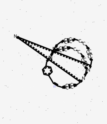 C1=C\c2ccc(cc2)-c2nc3nc(n2)-c2ccc(cc2)CCc2ccc(cc2)-c2nc(nc(n2)-c2ccc(cc2)CCc2ccc-3cc2)-c2ccc/1cc2